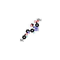 CC(C)(C)OC(=O)c1ccc2nc(Nc3ccc(-c4cccc(OCc5ccc(C#N)cc5F)n4)cc3F)n(C[C@@H]3CCO3)c2c1